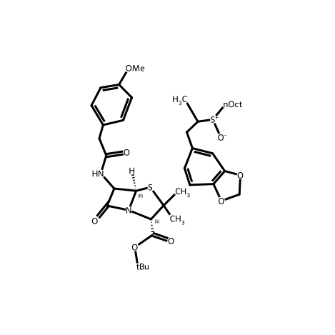 CCCCCCCC[S+]([O-])C(C)Cc1ccc2c(c1)OCO2.COc1ccc(CC(=O)NC2C(=O)N3[C@@H]2SC(C)(C)[C@@H]3C(=O)OC(C)(C)C)cc1